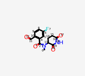 CN(C(=O)c1cc(F)ccc1C=O)C1CCC(=O)NC1=O